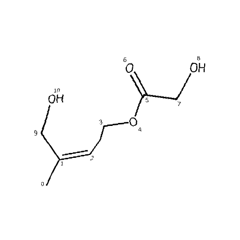 CC(=CCOC(=O)CO)CO